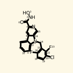 O=C(NO)c1cc2c3ccccc3n(Cc3c(F)ccc(Cl)c3F)c2cn1